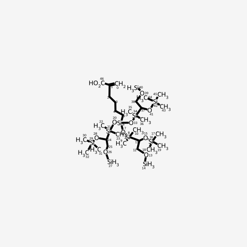 C=C(CCCC[Si](O[Si](C)(C)C(CO[SiH3])O[Si](C)(C)C)(O[Si](C)(C)C(CO[SiH3])O[Si](C)(C)C)O[Si](C)(C)C(CO[SiH3])O[Si](C)(C)C)C(=O)O